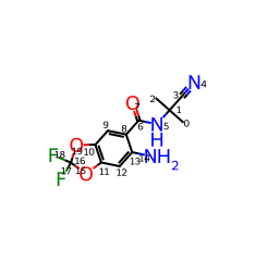 CC(C)(C#N)NC(=O)c1cc2c(cc1N)OC(F)(F)O2